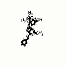 Cc1nc(OCc2ccccc2)c2nnn([C@@H]3C[C@H](O)[C@H]4OC(C)(C)O[C@H]43)c2n1